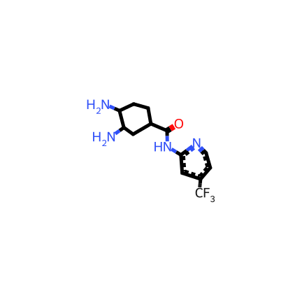 NC1CCC(C(=O)Nc2cc(C(F)(F)F)ccn2)CC1N